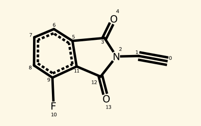 C#CN1C(=O)c2cccc(F)c2C1=O